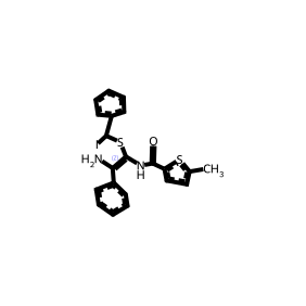 Cc1ccc(C(=O)N/C(SC(I)c2ccccc2)=C(/N)c2ccccc2)s1